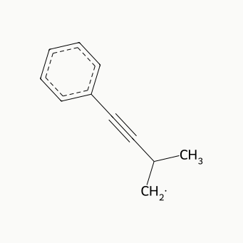 [CH2]C(C)C#Cc1ccccc1